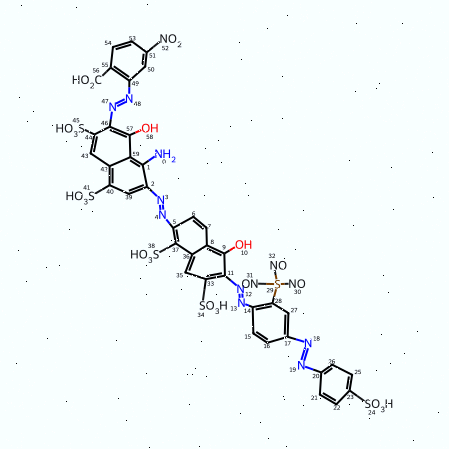 Nc1c(N=Nc2ccc3c(O)c(N=Nc4ccc(N=Nc5ccc(S(=O)(=O)O)cc5)cc4S(N=O)(N=O)N=O)c(S(=O)(=O)O)cc3c2S(=O)(=O)O)cc(S(=O)(=O)O)c2cc(S(=O)(=O)O)c(N=Nc3cc([N+](=O)[O-])ccc3C(=O)O)c(O)c12